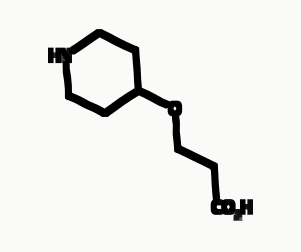 O=C(O)CCOC1CCNCC1